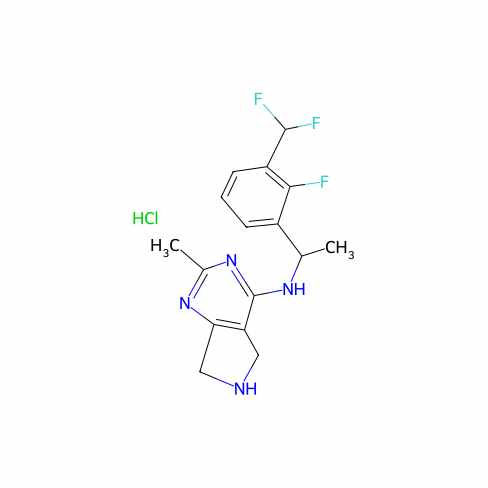 Cc1nc2c(c(NC(C)c3cccc(C(F)F)c3F)n1)CNC2.Cl